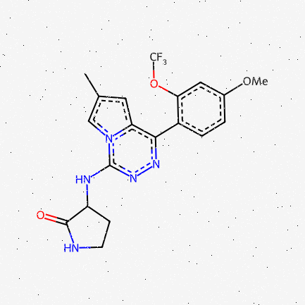 COc1ccc(-c2nnc(NC3CCNC3=O)n3cc(C)cc23)c(OC(F)(F)F)c1